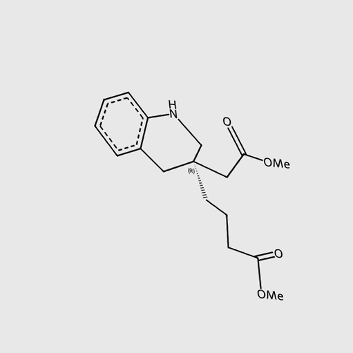 COC(=O)CCC[C@@]1(CC(=O)OC)CNc2ccccc2C1